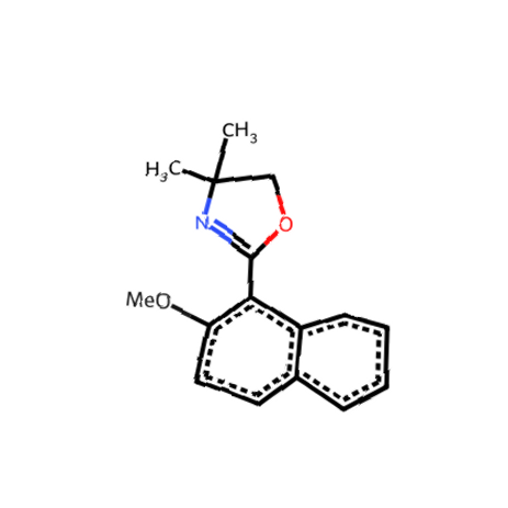 COc1ccc2ccccc2c1C1=NC(C)(C)CO1